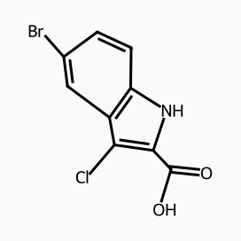 O=C(O)c1[nH]c2ccc(Br)cc2c1Cl